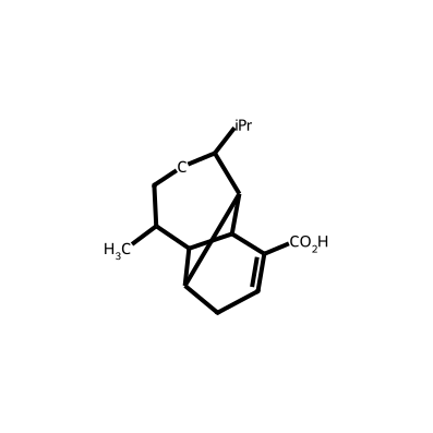 CC(C)C1CCC(C)C2C3CC=C(C(=O)O)C2C13